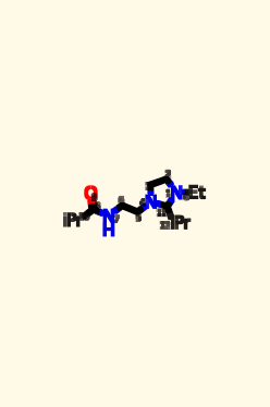 CCN1CCN(CCNC(=O)C(C)C)C1C(C)C